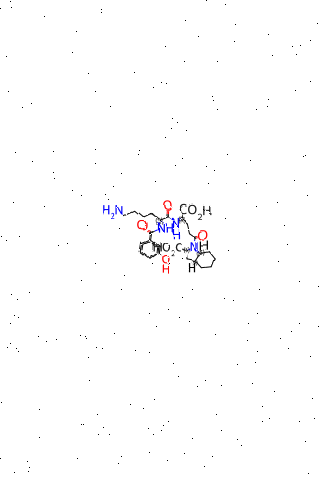 NCCCC[C@H](NC(=O)c1cccc(O)c1)C(=O)N[C@H](CCC(=O)N1[C@H](C(=O)O)C[C@@H]2CCCC[C@@H]21)C(=O)O